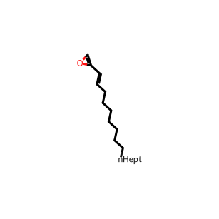 CCCCCCCCCCCCCCC=CC1=CO1